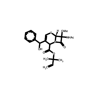 C=CC(C)(C)OC(=O)C1C(C(O)c2ccccc2)=CS[C@H]2N1C(=O)C2(NC(C)=O)OC